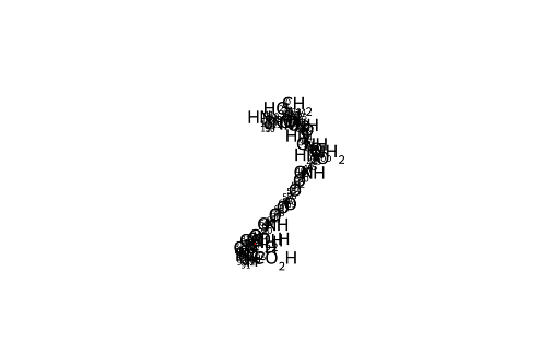 C=C(O)C[C@H](CC(=O)[C@H](Cc1c[nH]c2ccccc12)NC)C(=O)N1CCC[C@H]1C(=O)NCC(=O)NCC(=O)NCC(=O)N[C@@H](CCCCNC(=O)COCCOCCCC(=O)COCCOCCNC(=O)CCCC(=O)NCCC1(N(CC(=O)O)CC(=O)O)CN(CC(=O)O)[C@@H]2CCCC[C@H]2N(CC(=O)O)C1)C(N)=O